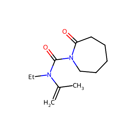 C=C(C)N(CC)C(=O)N1CCCCCC1=O